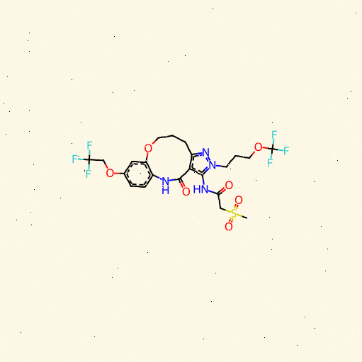 CS(=O)(=O)CC(=O)Nc1c2c(nn1CCCOC(F)(F)F)CCCOc1cc(OCC(F)(F)F)ccc1NC2=O